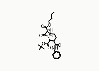 CCCCOC(=O)[C@@H]1C(=O)N2C(C(=O)OC(C)(C)C)=C(C(=O)Nc3ccccc3)CC[C@@H]12